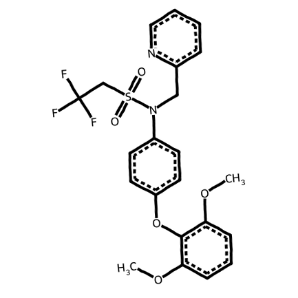 COc1cccc(OC)c1Oc1ccc(N(Cc2ccccn2)S(=O)(=O)CC(F)(F)F)cc1